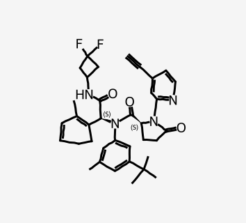 C#Cc1ccnc(N2C(=O)CC[C@H]2C(=O)N(c2cc(C)cc(C(C)(C)C)c2)[C@H](C(=O)NC2CC(F)(F)C2)C2=C(C)C=CCC2)c1